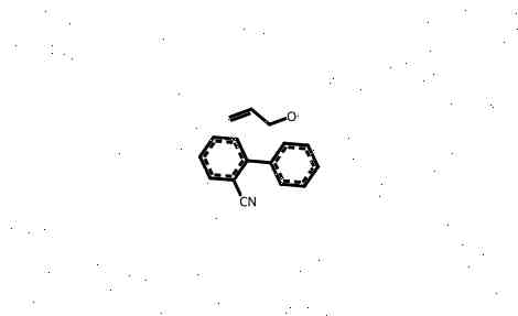 C=CC[O].N#Cc1ccccc1-c1ccccc1